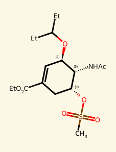 CCOC(=O)C1=C[C@@H](OC(CC)CC)[C@H](NC(C)=O)[C@H](OS(C)(=O)=O)C1